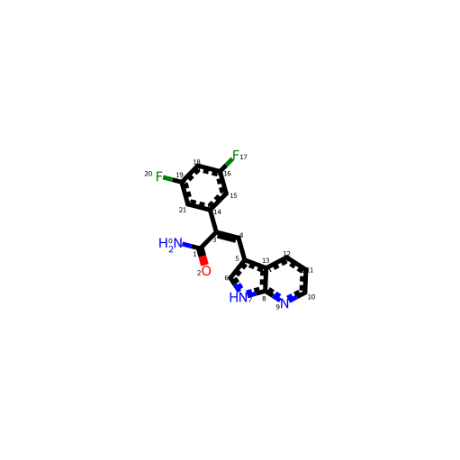 NC(=O)/C(=C\c1c[nH]c2ncccc12)c1cc(F)cc(F)c1